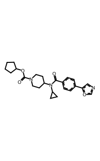 O=C(OC1CCCC1)N1CCC(N(C(=O)c2ccc(-c3cnco3)cc2)C2CC2)CC1